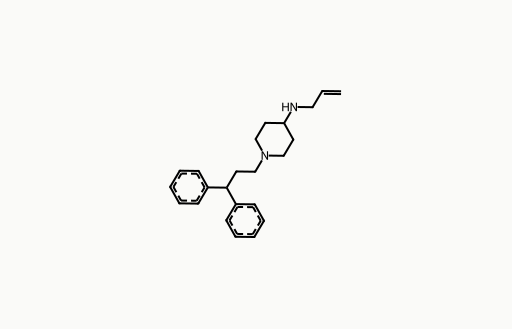 C=CCNC1CCN(CCC(c2ccccc2)c2ccccc2)CC1